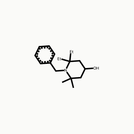 CCC1(CC)CC(O)CC(C)(C)N1Cc1ccccc1